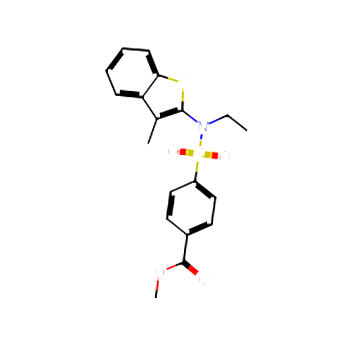 CCN(c1sc2ccccc2c1C)S(=O)(=O)c1ccc(C(=O)OC)cc1